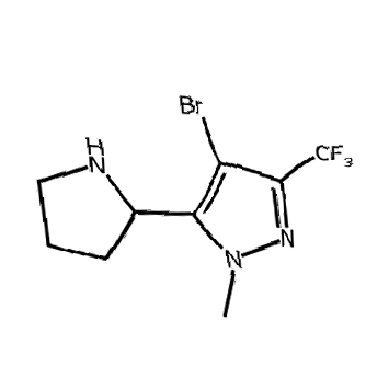 Cn1nc(C(F)(F)F)c(Br)c1C1CCCN1